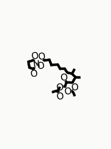 CC(=O)OCC1OC(CCCCCC(=O)ON2C(=O)CCC2=O)C(C)C(C)C1OC(C)=O